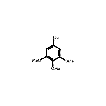 COc1cc(C(C)(C)C)cc(OC)c1OC